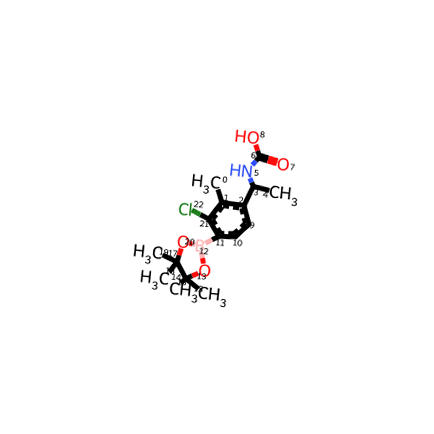 Cc1c(C(C)NC(=O)O)ccc(B2OC(C)(C)C(C)(C)O2)c1Cl